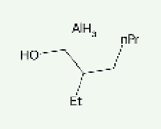 CCCCC(CC)CO.[AlH3]